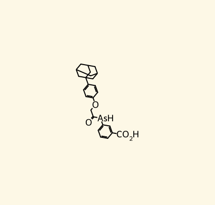 O=C(COc1ccc(C23CC4CC(CC(C4)C2)C3)cc1)[AsH]c1cccc(C(=O)O)c1